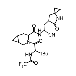 CC(C)(C)C(NC(=O)C(F)(F)F)C(=O)N1CC2CC2CC1C(=O)NC(C#N)CC1CC2(CC2)NC1=O